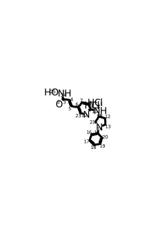 Cl.Cl.O=C(C=Cc1ccc(N[C@@H]2CCN(c3ccccc3)C2)nc1)NO